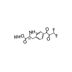 COC(=O)[C@@H](N)Cc1ccc(C(=O)C(=O)C(F)F)cc1